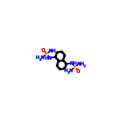 NP(N)(=O)Nc1cccc2c(NP(N)(N)=O)cccc12